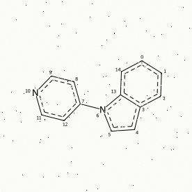 [c]1ccc2ccn(-c3ccncc3)c2c1